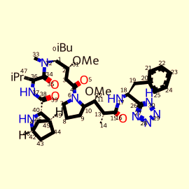 CC[C@H](C)[C@@H]([C@@H](CC(=O)N1CCCC1[C@H](OC)[C@@H](C)C(=O)N[C@@H](Cc1ccccc1)c1nnn[nH]1)OC)N(C)C(=O)C(NC(=O)[C@H]1N[C@@H]2CC[C@H]1C2)C(C)C